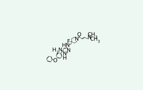 CN(C)CC=CC(=O)N1CCC(F)(CNC2=CC(N)(c3ccc(Oc4ccccc4)cc3)NC=N2)CC1